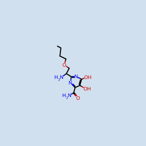 CCCCOCC(N)c1nc(O)c(O)c(C(N)=O)n1